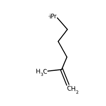 C=C(C)CCC[C](C)C